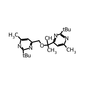 Cc1cc(COC(C)(C)c2cc(C)nc(C(C)(C)C)n2)nc(C(C)(C)C)n1